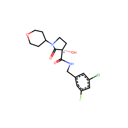 O=C(NCc1cc(F)cc(Cl)c1)[C@]1(O)CCN(C2CCOCC2)C1=O